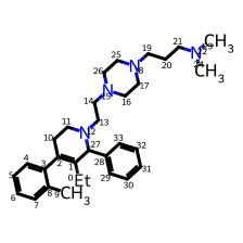 CCC1=C(c2ccccc2C)CCN(CCN2CCN(CCCN(C)C)CC2)C1c1ccccc1